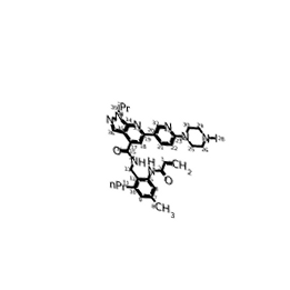 C=CC(=O)Nc1cc(C)cc(CCC)c1CNC(=O)c1cc(-c2ccc(N3CCN(I)CC3)nc2)nc2c1cnn2C(C)C